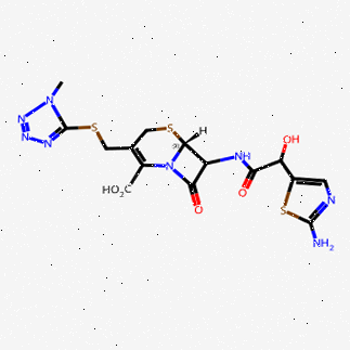 Cn1nnnc1SCC1=C(C(=O)O)N2C(=O)C(NC(=O)C(O)c3cnc(N)s3)[C@H]2SC1